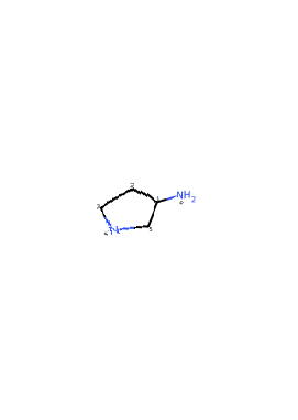 NC1CC[N]C1